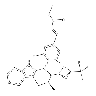 COC(=O)/C=C/c1cc(F)c([C@H]2c3[nH]c4ccccc4c3C[C@H](C)N2C23CC(C(F)(F)F)(C2)C3)c(F)c1